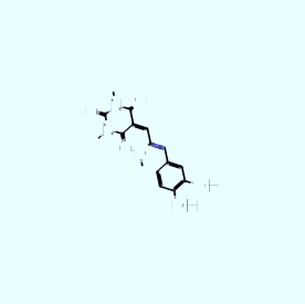 CO/C(C=C1C(=O)N(C)C(=O)N(C)C1=O)=C\c1ccc(O)c(O)c1